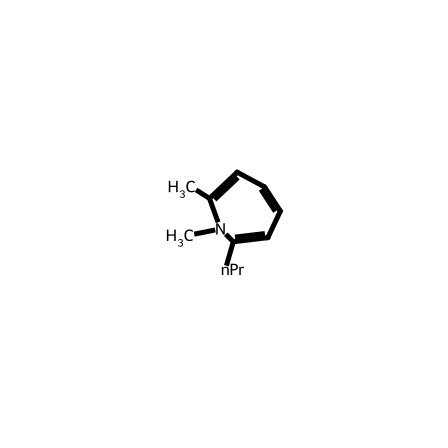 CCCC1=CC=CC=C(C)N1C